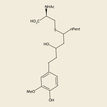 CCCCCC(CC(O)CCc1ccc(O)c(OC)c1)SC[C@H](NC(C)=O)C(=O)O